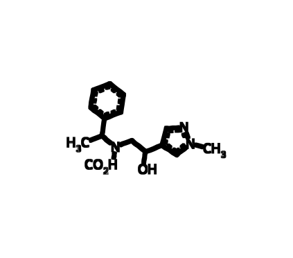 CC(c1ccccc1)N(CC(O)c1cnn(C)c1)C(=O)O